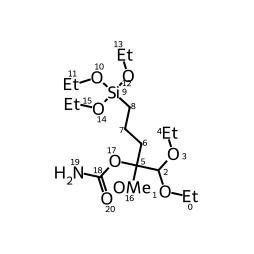 CCOC(OCC)C(CCC[Si](OCC)(OCC)OCC)(OC)OC(N)=O